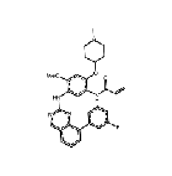 C=CC(=O)Nc1cc(Nc2ncc3cccc(-c4cccc(F)c4)c3n2)c(OC)cc1OC1CCN(C)CC1